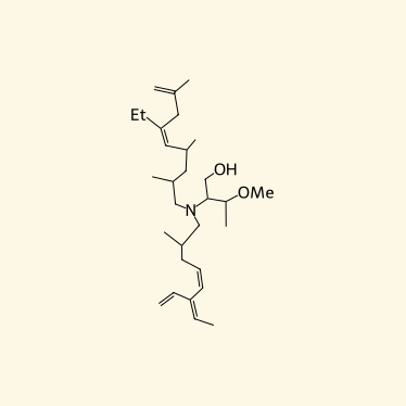 C=CC(/C=C\CC(C)CN(CC(C)CC(C)/C=C(/CC)CC(=C)C)C(CO)C(C)OC)=C/C